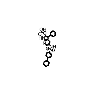 O=C(O)Oc1[nH]c2ncc(NS(=O)(=O)c3ccc(-c4ccccc4)cc3)cc2c1-c1ccccc1